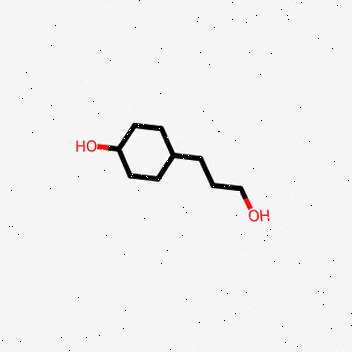 OCCCC1CCC(O)CC1